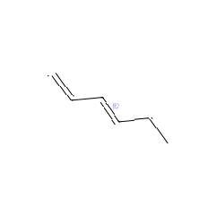 [CH]=C/C=C/[CH]C